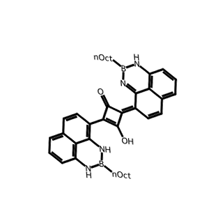 CCCCCCCCB1N=c2/c(=C3\C(=O)C(c4ccc5cccc6c5c4NB(CCCCCCCC)N6)=C3O)ccc3cccc(c23)N1